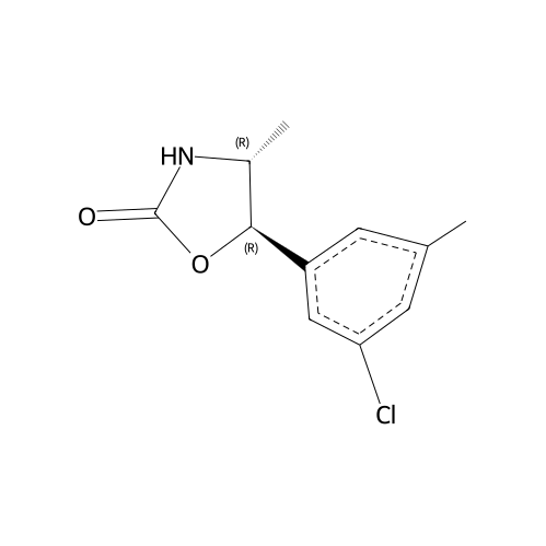 Cc1cc(Cl)cc([C@H]2OC(=O)N[C@@H]2C)c1